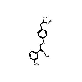 CCOC(Cc1ccc(OCC(=NOC)c2cccc(OC)c2)cc1)C(=O)O